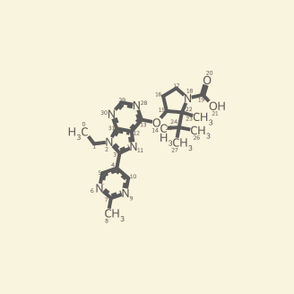 CCn1c(-c2cnc(C)nc2)nc2c(OC3CCN(C(=O)O)C3(C)C(C)(C)C)ncnc21